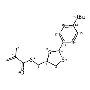 C=C(C)C(=O)SCC1CSC(c2ccc(C(C)(C)C)cc2)S1